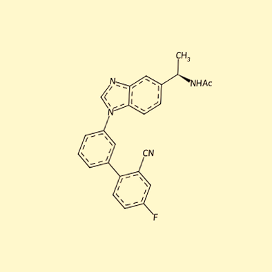 CC(=O)N[C@H](C)c1ccc2c(c1)ncn2-c1cccc(-c2ccc(F)cc2C#N)c1